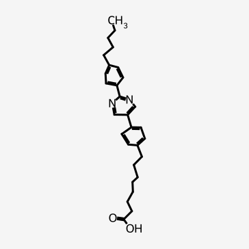 CCCCCc1ccc(-c2ncc(-c3ccc(CCCCCCCC(=O)O)cc3)cn2)cc1